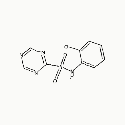 O=S(=O)(Nc1ccccc1Cl)c1ncncn1